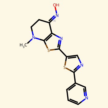 CN1CC/C(=N\O)c2nc(-c3cnc(-c4cccnc4)s3)sc21